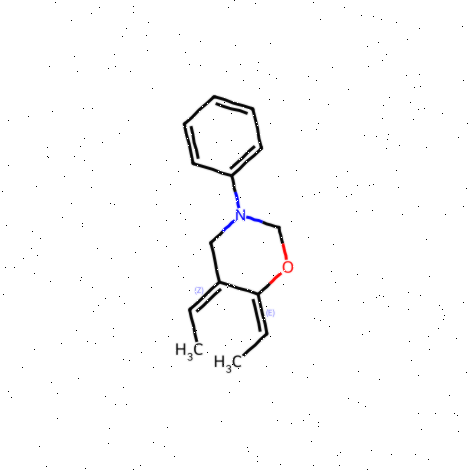 C/C=C1/CN(c2ccccc2)CO/C1=C/C